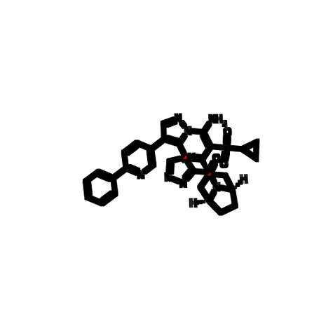 Nc1c(S(=O)(=O)C2CC2)c([C@H]2C[C@H]3CC[C@@H](C2)N3C(=O)c2nnc[nH]2)nc2c(-c3ccc(-c4ccccc4)nc3)cnn12